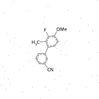 COc1ccc(-c2cccc(C#N)c2)c(C)c1F